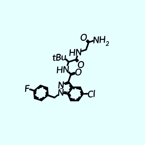 CC(C)(C)C(NC(=O)c1nn(Cc2ccc(F)cc2)c2ccc(Cl)cc12)C(=O)NCC(N)=O